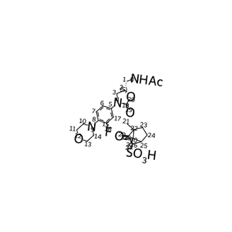 CC(=O)NC[C@H]1CN(c2ccc(N3CCOCC3)c(F)c2)C(=O)O1.CC12CCC(C(S(=O)(=O)O)C1=O)C2(C)C